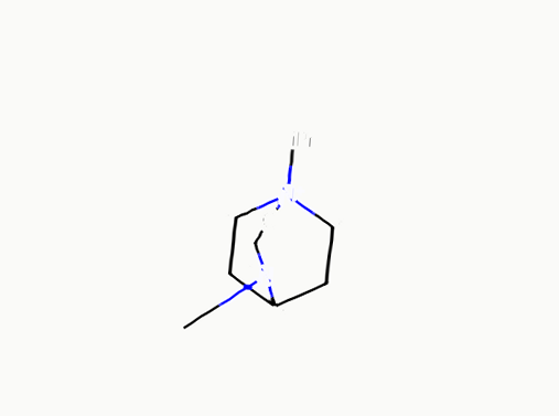 CC(C)[N+]12CCC(CC1)N(C)CC2